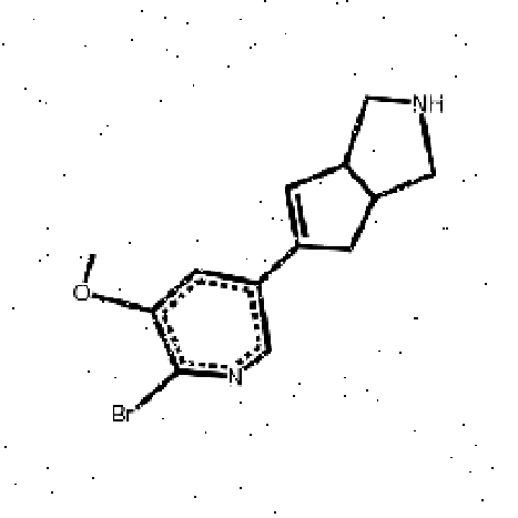 COc1cc(C2=CC3CNCC3C2)cnc1Br